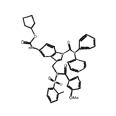 COc1cccc(C(=O)N(Cc2cn(C(=O)N(c3ccccc3)c3ccccc3)c3ccc(NC(=O)OC4CCCC4)cc23)S(=O)(=O)c2ccccc2C)c1